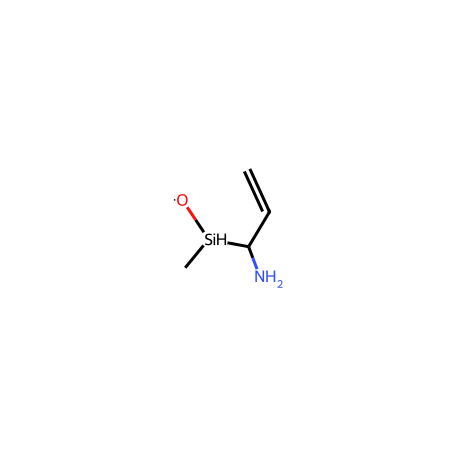 C=CC(N)[SiH](C)[O]